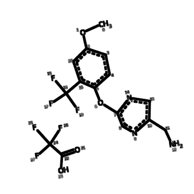 COc1ccc(Oc2cnc(CN)cn2)c(C(F)(F)F)c1.O=C(O)C(F)(F)F